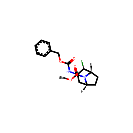 CC(C)(C)OC(=O)N1[C@@H]2CC[C@H]1[C@H](F)[C@H](NC(=O)OCc1ccccc1)C2